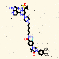 C[C@@H]1CN(CCCCCCNC(=O)c2ccc(N3C(=S)N(c4ccc(C#N)c(C(F)(F)F)c4)C(=O)C3(C)C)cc2F)CCN1c1cc(C2(S(C)(=N)=O)CC2)nc(-c2ccnc3[nH]ccc23)n1